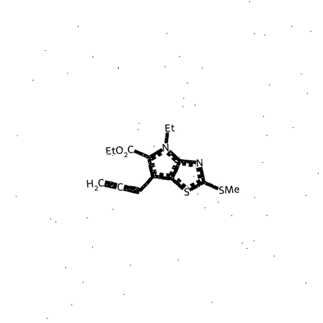 C=C=Cc1c(C(=O)OCC)n(CC)c2nc(SC)sc12